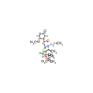 CCCCN1C(=CC(=O)c2cc(Cl)ccc2OC)SC(C(C)(O[Si](C)(C)C)C(F)(F)F)=C1C